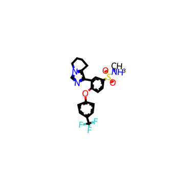 CNS(=O)(=O)c1ccc(Oc2ccc(C(F)(F)F)cc2)c(-c2ncn3c2CCCC3)c1